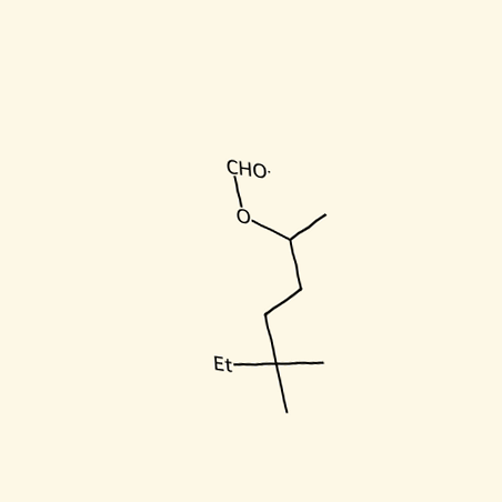 CCC(C)(C)CCC(C)O[C]=O